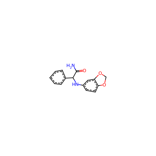 NC(=O)C(Nc1ccc2c(c1)OCO2)c1ccccc1